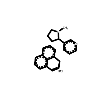 C1=Cc2cccc3cccc(c23)C1.CN1CCCC1c1cccnc1.Cl